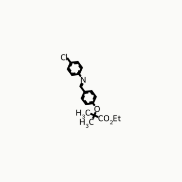 CCOC(=O)C(C)(C)Oc1ccc(/C=N/c2ccc(Cl)cc2)cc1